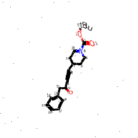 CC(C)(C)OC(=O)N1CCC(C#CC(=O)Cc2ccccc2)CC1